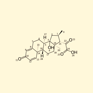 C[C@@H]1CC2(O)[C@@H]3CCC4=CC(=O)C=C[C@]4(C)[C@H]3CC[C@]2(C)[C@H]1C(=O)C(=O)O